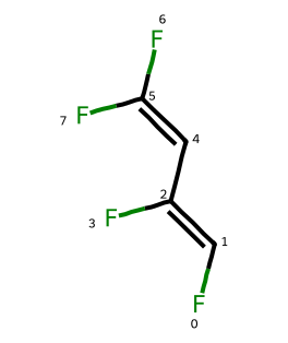 FC=C(F)C=C(F)F